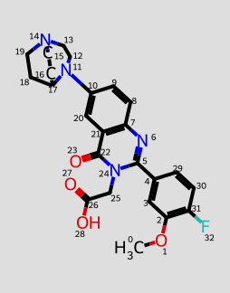 COc1cc(-c2nc3ccc(N4CCN5CCC4CC5)cc3c(=O)n2CC(=O)O)ccc1F